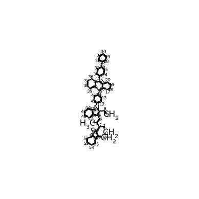 C=CC(/C(C)=C/c1c(C=C)n(-c2ccc(C3=c4ccccc4=C(c4ccc(-c5ccccc5)cc4)C4CC=CC=C34)cc2)c2ccccc12)=c1/sc2ccccc2c1=C